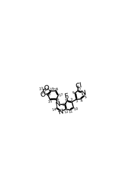 Fc1c(-c2ccnc(Cl)c2)ccc2ncn(-c3ccc4c(c3)OCO4)c12